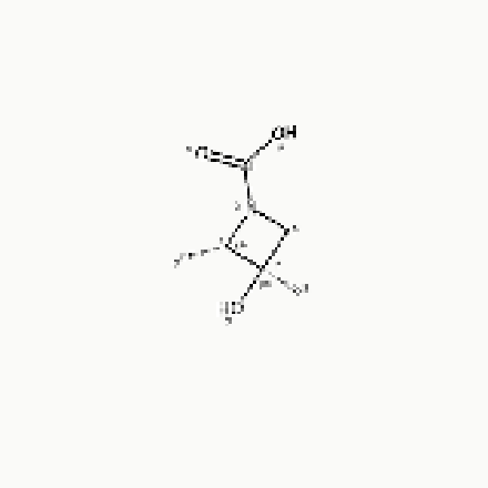 C[C@@H]1N(C(=O)O)C[C@@]1(C)O